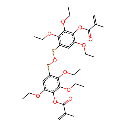 C=C(C)C(=O)Oc1c(OCC)cc(SOSc2cc(OCC)c(OC(=O)C(=C)C)c(OCC)c2OCC)c(OCC)c1OCC